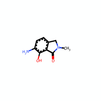 CN1Cc2ccc(N)c(O)c2C1=O